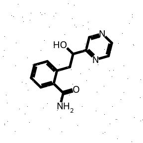 NC(=O)c1ccccc1CC(O)c1cnccn1